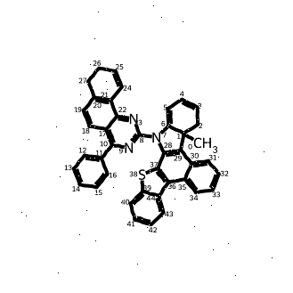 CC12CC=CC=C1N(c1nc(-c3ccccc3)c3ccc4c(c3n1)C=CCC4)c1c2c2ccccc2c2c1sc1ccccc12